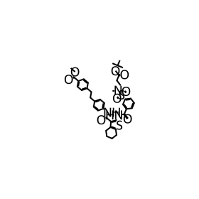 COC(=O)c1ccc(CCc2ccc(NC(=O)c3c(NC(=O)c4cccc(S(=O)(=O)N(C)CCC(=O)OC(C)(C)C)c4)sc4c3CCCC4)cc2)cc1